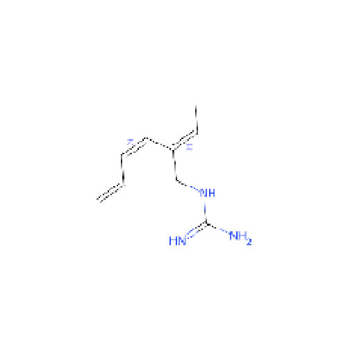 C=C/C=C\C(=C/C)CNC(=N)N